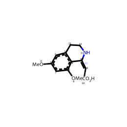 COc1cc2c(c(OC)c1)/C(=C\C(=O)O)NCC2